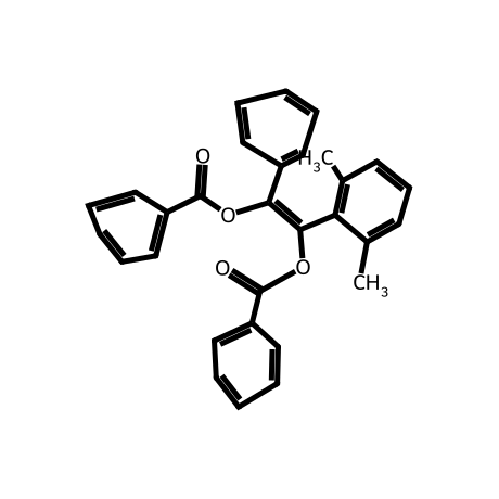 Cc1cccc(C)c1C(OC(=O)c1ccccc1)=C(OC(=O)c1ccccc1)c1ccccc1